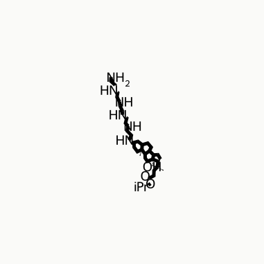 CC(C)OC(=O)CC[C@@H](C)[C@H]1CCC2C3CCC4C[C@@H](NCCNCCNCCNCCNCCN)CC[C@]4(C)C3C[C@H](O)[C@@]21C